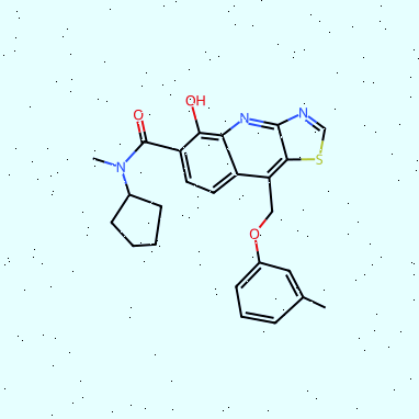 Cc1cccc(OCc2c3ccc(C(=O)N(C)C4CCCC4)c(O)c3nc3ncsc23)c1